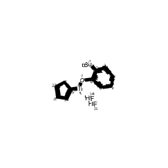 CC(C)(C)c1ccccc1[O][Ti][C]1=CC=CC1.F.F